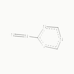 [N-]=[N+2]c1ncncn1